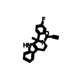 C#CC(=O)N1CCc2c([nH]c3ccccc23)C1(C)c1ccc(F)cc1